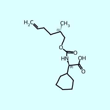 C=CCC[C@H](C)COC(=O)N[C@@H](C(=O)O)C1CCCCC1